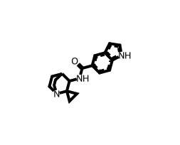 O=C(NC1C2CCN(CC2)C12CC2)c1ccc2[nH]ccc2c1